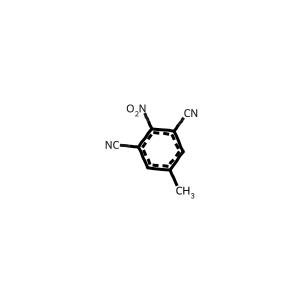 Cc1cc(C#N)c([N+](=O)[O-])c(C#N)c1